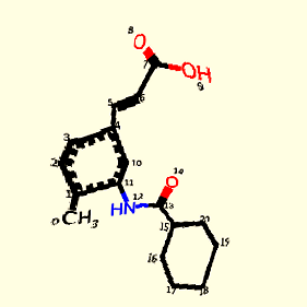 Cc1ccc(C=CC(=O)O)cc1NC(=O)C1CCCCC1